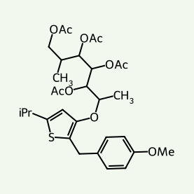 COc1ccc(Cc2sc(C(C)C)cc2OC(C)C(OC(C)=O)C(OC(C)=O)C(OC(C)=O)C(C)COC(C)=O)cc1